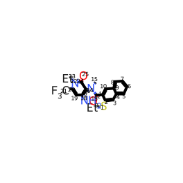 CCSc1cc2ccccc2cc1C(=O)N(C)c1c(N)cc(C(F)(F)F)n(CC)c1=O